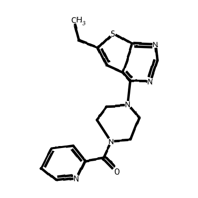 CCc1cc2c(N3CCN(C(=O)c4ccccn4)CC3)ncnc2s1